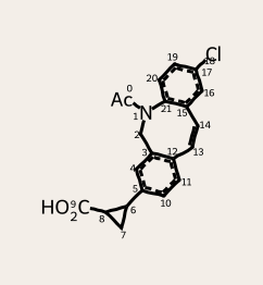 CC(=O)N1Cc2cc(C3CC3C(=O)O)ccc2C=Cc2cc(Cl)ccc21